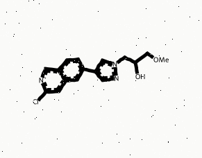 COCC(O)Cn1cc(-c2ccc3cnc(Cl)cc3c2)cn1